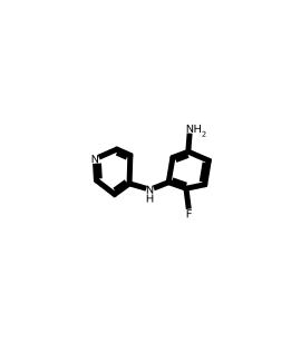 Nc1ccc(F)c(Nc2ccncc2)c1